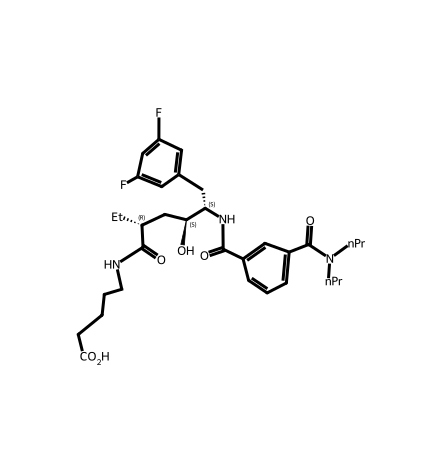 CCCN(CCC)C(=O)c1cccc(C(=O)N[C@@H](Cc2cc(F)cc(F)c2)[C@@H](O)C[C@@H](CC)C(=O)NCCCCC(=O)O)c1